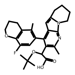 Cc1nc2c(cc3n2CCCC3)c(-c2cc(F)c3c(c2C)CCCO3)c1C(OC(C)(C)C)C(=O)O